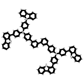 c1cc(-c2ccc(N(c3ccc(-c4cccc5c4oc4ccccc45)cc3)c3ccc(-c4cccc5c4oc4ccccc45)cc3)cc2)cc(-c2cccc(-c3ccc(N(c4ccc(-c5cccc6c5oc5ccccc56)cc4)c4ccc(-n5c6ccccc6c6ccccc65)cc4)cc3)c2)c1